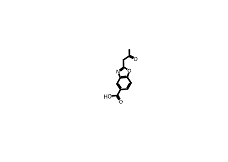 CC(=O)Cc1nc2cc(C(=O)O)ccc2o1